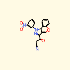 N#CCC(=O)C1=NN(C2C=CCC([N+](=O)[O-])=C2)C2C1=COc1ccccc12